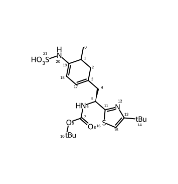 CC1CC(C[C@H](NC(=O)OC(C)(C)C)c2nc(C(C)(C)C)cs2)=CC=C1NS(=O)(=O)O